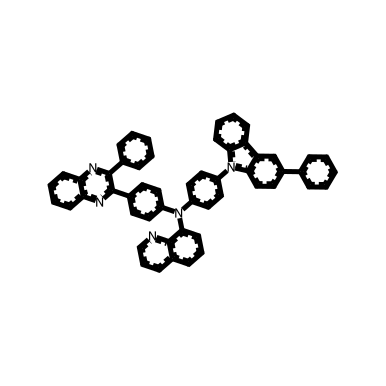 c1ccc(-c2ccc3c(c2)c2ccccc2n3-c2ccc(N(c3ccc(-c4nc5ccccc5nc4-c4ccccc4)cc3)c3cccc4cccnc34)cc2)cc1